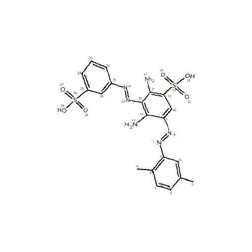 Cc1ccc(C)c(/N=N/c2cc(S(=O)(=O)O)c(N)c(/N=N/c3cccc(S(=O)(=O)O)c3)c2N)c1